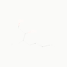 CC=CCC(C)C(O)CO